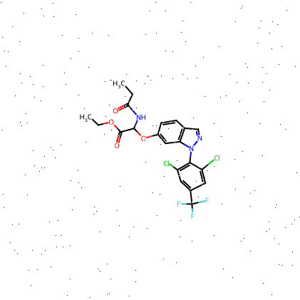 CCOC(=O)C(NC(=O)CC)Oc1ccc2cnn(-c3c(Cl)cc(C(F)(F)F)cc3Cl)c2c1